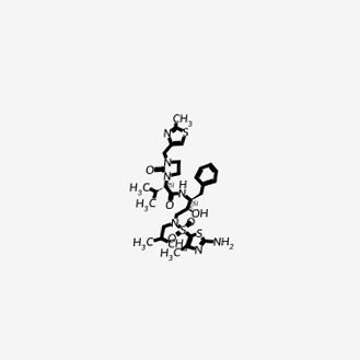 Cc1nc(CN2CCN([C@H](C(=O)N[C@@H](Cc3ccccc3)[C@H](O)CN(CC(C)C)S(=O)(=O)c3sc(N)nc3C)C(C)C)C2=O)cs1